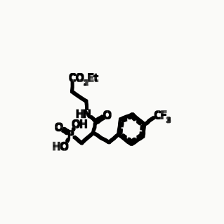 CCOC(=O)CCNC(=O)C(Cc1ccc(C(F)(F)F)cc1)CP(=O)(O)O